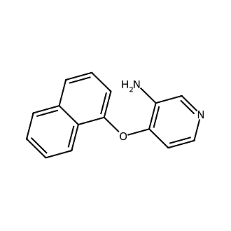 Nc1cnccc1Oc1cccc2ccccc12